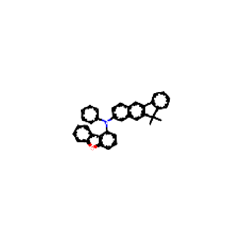 CC1(C)c2ccccc2-c2cc3ccc(N(c4ccccc4)c4cccc5oc6ccccc6c45)cc3cc21